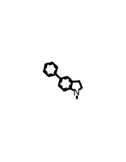 CN1CCc2cc(-c3ccccc3)ccc21